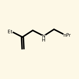 C=C(CC)CNCCCC